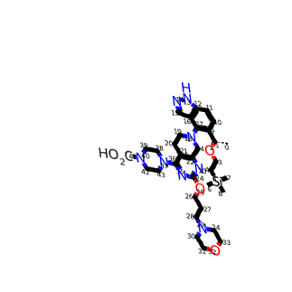 C[C@H](OCC[Si](C)(C)C)c1ccc2[nH]ncc2c1N1CCc2c(nc(OCCCN3CCOCC3)nc2N2CCN(C(=O)O)CC2)C1